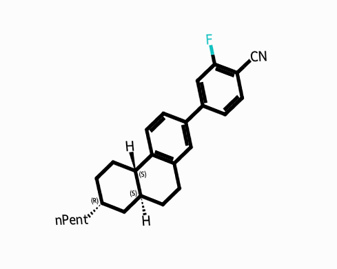 CCCCC[C@@H]1CC[C@@H]2c3ccc(-c4ccc(C#N)c(F)c4)cc3CC[C@H]2C1